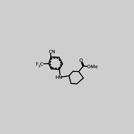 COC(=O)C1CCCC(Nc2ccc(C#N)c(C(F)(F)F)c2)C1